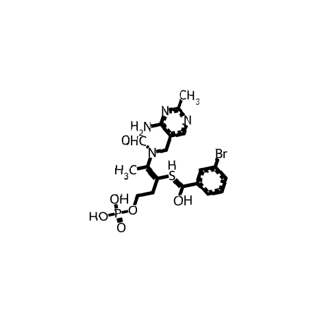 C/C(=C(CCOP(=O)(O)O)/[SH]=C(\O)c1cccc(Br)c1)N(C=O)Cc1cnc(C)nc1N